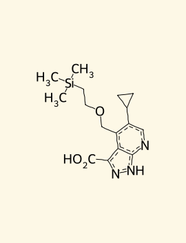 C[Si](C)(C)CCOCc1c(C2CC2)cnc2[nH]nc(C(=O)O)c12